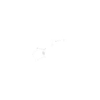 O=[Si](O)O.c1ccoc1